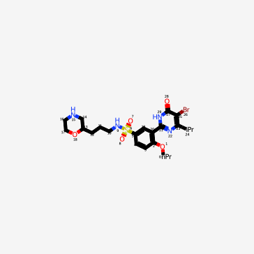 CCCOc1ccc(S(=O)(=O)NCCCC2CNCCO2)cc1-c1nc(C(C)C)c(Br)c(=O)[nH]1